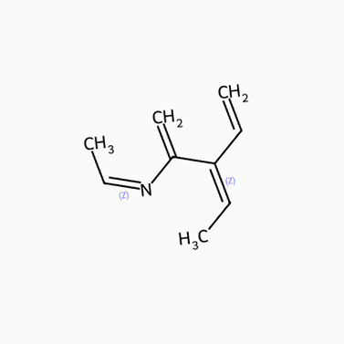 C=C/C(=C/C)C(=C)/N=C\C